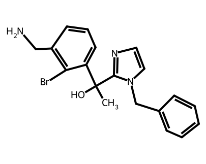 CC(O)(c1cccc(CN)c1Br)c1nccn1Cc1ccccc1